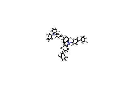 Cc1cc(C)cc(-c2ccc3c(c2)c2cc(-c4ccc5c(c4)c4cc(C)ccc4n5-c4ccccc4)ccc2n3-c2ccc(-c3ccccc3)cc2)c1